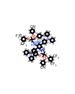 N#Cc1ccc(OCC(CNNc2c(N)c(-c3ccc(N(c4ccccc4)c4ccccc4)cc3)c3nn(CC(COc4ccc(C#N)cc4)(COc4ccc(C#N)cc4)COc4cc(C(F)(F)F)cc(C(F)(F)F)c4)nc3c2-c2ccc(N(c3ccccc3)c3ccccc3)cc2)(COc2ccc(C#N)cc2)COc2cc(C(F)(F)F)cc(C(F)(F)F)c2)cc1